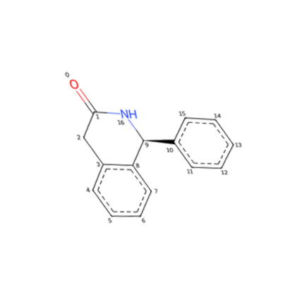 O=C1Cc2ccccc2[C@H](c2ccccc2)N1